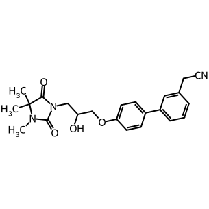 CN1C(=O)N(CC(O)COc2ccc(-c3cccc(CC#N)c3)cc2)C(=O)C1(C)C